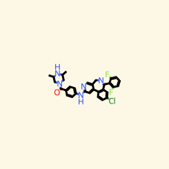 CC1CN(C(=O)c2ccc(Nc3cc4c(cn3)CN=C(c3c(F)cccc3F)c3cc(Cl)ccc3-4)cc2)CC(C)N1